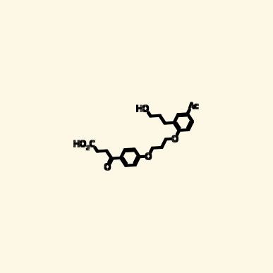 CC(=O)c1ccc(OCCCOc2ccc(C(=O)CCC(=O)O)cc2)c(CCCO)c1